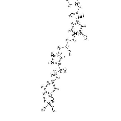 O=C(CN1CCOCC1)Nc1ccn(CCC(F)Cn2cc(C(=O)NCc3cccc(OC(F)(F)F)c3)nn2)c(=O)c1